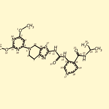 COc1cc(N2CCc3nc(NC(=O)Nc4cnccc4C(=O)NC(C)C)sc3C2)nc(OC)n1